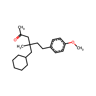 COc1ccc(CCC(C)(CC(C)=O)CC2CCCCC2)cc1